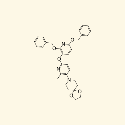 Cc1nc(Oc2ccc(OCc3ccccc3)nc2OCc2ccccc2)ccc1N1CCC2(CC1)OCCO2